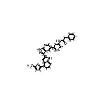 Cc1ccc(-c2cccc3[nH]c(-c4n[nH]c5ncc(-c6cncc(NC(=O)Cc7ccccc7)c6)cc45)cc23)s1